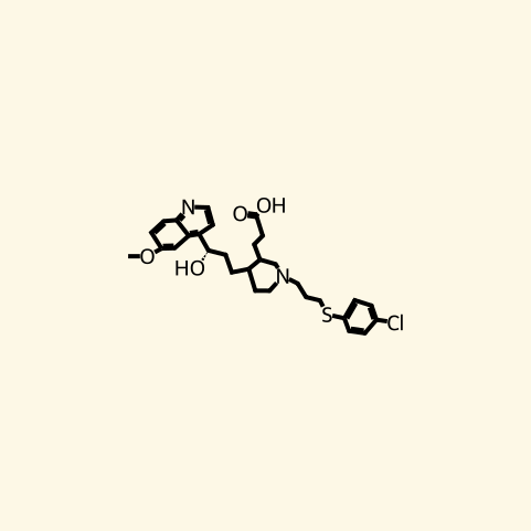 COc1ccc2nccc([C@@H](O)CCC3CCN(CCCSc4ccc(Cl)cc4)CC3CCC(=O)O)c2c1